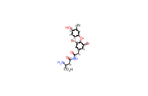 CC(C)c1cc(Oc2c(Br)cc(CC(=O)NC(=O)CC(N)C(=O)O)cc2Br)ccc1O